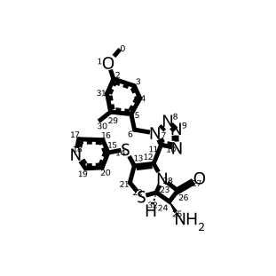 COc1ccc(Cn2nnnc2C2=C(Sc3ccncc3)CS[C@@H]3[C@H](N)C(=O)N23)c(C)c1